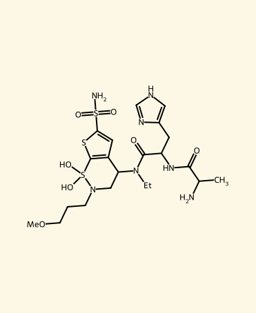 CCN(C(=O)C(Cc1c[nH]cn1)NC(=O)C(C)N)C1CN(CCCOC)S(O)(O)c2sc(S(N)(=O)=O)cc21